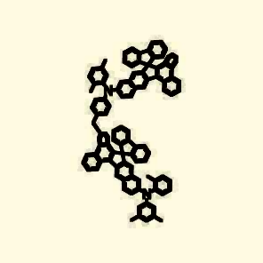 Cc1cc(C)cc(N(c2ccc3cc4c(cc3c2)C2(c3ccccc3-c3ccccc32)c2c-4c3ccccc3c3cc(Cc4ccc(N(c5ccc6cc7c(cc6c5)C5(c6ccccc6-c6ccccc65)c5c-7c6ccccc6c6ccccc56)c5cc(C)ccc5C)cc4)ccc23)c2ccccc2C)c1